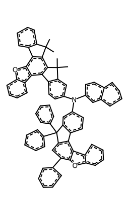 CC1(C)c2ccccc2-c2c1c1c(c3c2oc2ccccc23)-c2ccc(N(c3ccc4c(c3)C(c3ccccc3)(c3ccccc3)c3cc(-c5ccccc5)c5oc6ccccc6c5c3-4)c3ccc4ccccc4c3)cc2C1(C)C